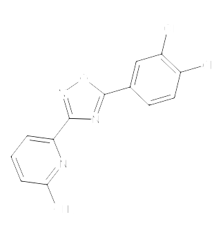 Cc1cccc(-c2noc(-c3ccc(Cl)c(O)c3)n2)n1